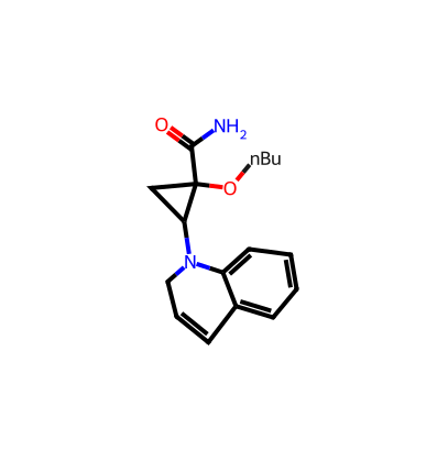 CCCCOC1(C(N)=O)CC1N1CC=Cc2ccccc21